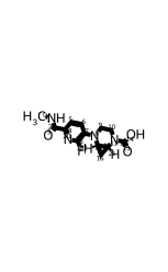 CNC(=O)c1ccc(N2CCN(C(=O)O)[C@@H]3C[C@@H]32)c(F)n1